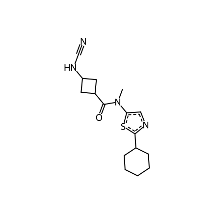 CN(C(=O)C1CC(NC#N)C1)c1cnc(C2CCCCC2)s1